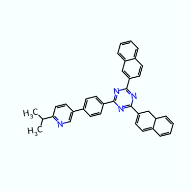 CC(C)c1ccc(-c2ccc(-c3nc(C4=CC=C5C=CC=CC5C4)nc(-c4ccc5ccccc5c4)n3)cc2)cn1